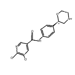 O=C(Nc1ccc([C@@H]2CNCCO2)cc1)c1cnc(Cl)c(Cl)c1